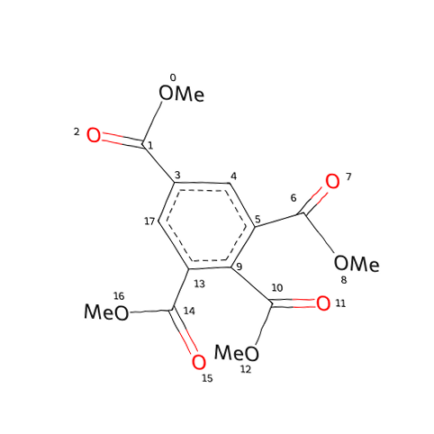 COC(=O)c1cc(C(=O)OC)c(C(=O)OC)c(C(=O)OC)c1